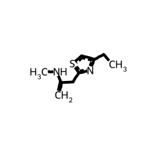 C=C(Cc1nc(CC)cs1)NC